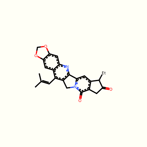 CC[C]1C(=O)Cc2c1cc1n(c2=O)Cc2c-1nc1cc3c(cc1c2C=C(C)C)OCO3